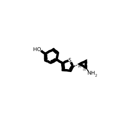 N[C@H]1C[C@H]1c1ccc(-c2ccc(O)cc2)s1